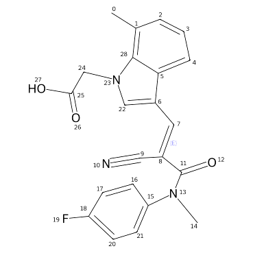 Cc1cccc2c(/C=C(\C#N)C(=O)N(C)c3ccc(F)cc3)cn(CC(=O)O)c12